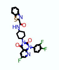 O=C(NC1CCC(n2c(=O)c3cc(F)cnc3n(-c3ccc(F)c(F)c3)c2=O)CC1)c1nc2ccccc2s1